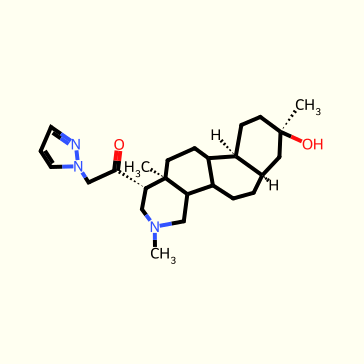 CN1CC2C3CC[C@@H]4C[C@](C)(O)CC[C@@H]4C3CC[C@]2(C)[C@@H](C(=O)Cn2cccn2)C1